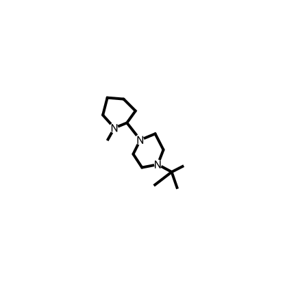 CN1CCCCC1N1CCN(C(C)(C)C)CC1